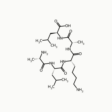 CC(C)C[C@H](NC(=O)[C@H](C)NC(=O)[C@H](CCCCN)NC(=O)[C@H](CC(C)C)NC(=O)[C@H](C)N)C(=O)O